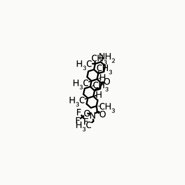 CCN(OC(F)(F)F)C(=O)[C@@]1(C)CC[C@]2(C)CC[C@]3(C)C(=CC(=O)[C@@H]4[C@@]5(C)CC[C@H](N)C(C)(C)C5CC[C@]43C)[C@@H]2C1